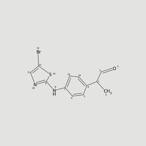 CC(C=O)c1ccc(Nc2ncc(Br)s2)cc1